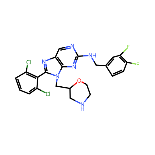 Fc1ccc(CNc2ncc3nc(-c4c(Cl)cccc4Cl)n(CC4CNCCO4)c3n2)cc1F